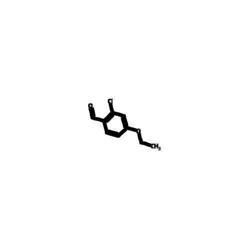 CCOc1ccc(C=O)c(Cl)c1